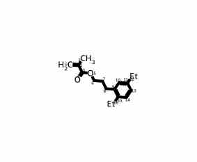 C=C(C)C(=O)OCCCc1cc(CC)ccc1CC